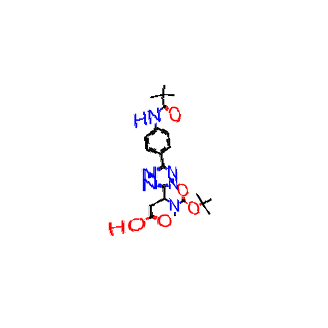 CN(C(=O)OC(C)(C)C)C(CC(=O)O)c1nnc(-c2ccc(NC(=O)C(C)(C)C)cc2)nn1